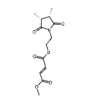 COC(=O)C=CC(=O)OCCN1C(=O)[C@@H](C)[C@@H](C)C1=O